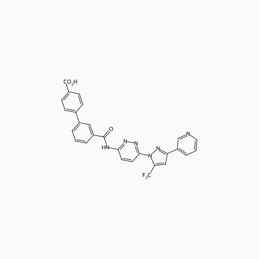 O=C(O)c1ccc(-c2cccc(C(=O)Nc3ccc(-n4nc(-c5cccnc5)cc4C(F)(F)F)nn3)c2)cc1